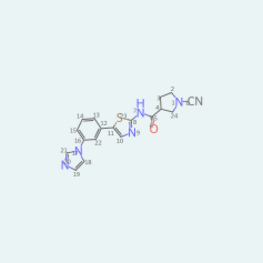 N#CN1CCC(C(=O)Nc2ncc(-c3cccc(-n4ccnc4)c3)s2)C1